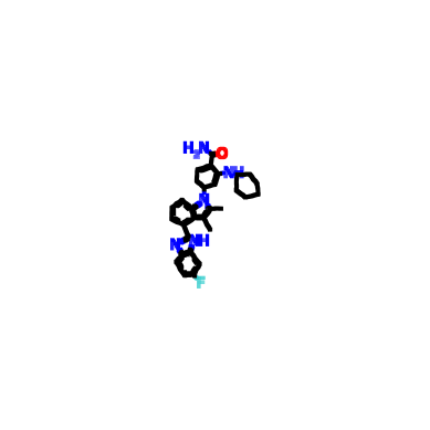 Cc1c(C)n(C2C=C(NC3CCCCC3)C(C(N)=O)=CC2)c2cccc(-c3nc4ccc(F)cc4[nH]3)c12